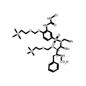 CCNC(=O)Nc1cc(S(=O)(=O)N(CC(C)C)C([C@H](OCOCC[Si](C)(C)C)[C@H](Cc2ccccc2)NC(=O)O)C(C)(C)C)ccc1OCOCC[Si](C)(C)C